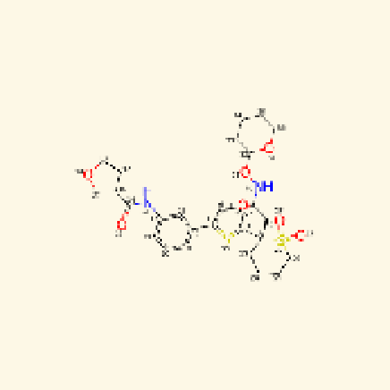 O=C(C[C@]1(c2ccc(-c3cccc(NC(=O)C4CCOC4)c3)s2)CCCCS1(=O)=O)NOC1CCCCO1